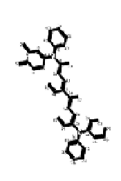 C=C/C=C\C(=C/C=C)N(/C(C)=C/C=C(C=C)/C(C)=C/C=C(\C=C)N(C(/C=C\C)=C/C)c1ccccc1)c1ccccc1